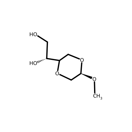 CO[C@H]1COC([C@H](O)CO)CO1